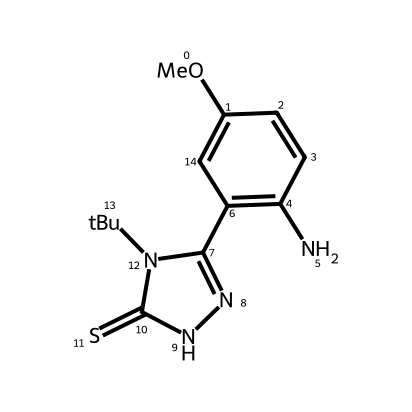 COc1ccc(N)c(-c2n[nH]c(=S)n2C(C)(C)C)c1